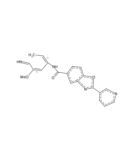 C/C=C(\C=C(/C=N)OC)NC(=O)c1ccc2oc(-c3cccnc3)nc2c1